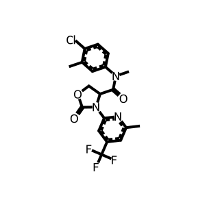 Cc1cc(C(F)(F)F)cc(N2C(=O)OCC2C(=O)N(C)c2ccc(Cl)c(C)c2)n1